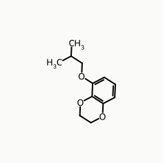 CC(C)COc1cccc2c1OCCO2